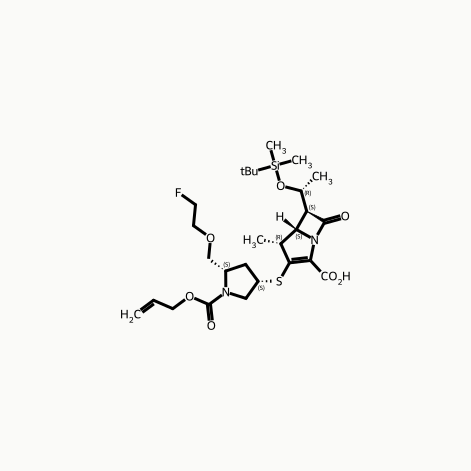 C=CCOC(=O)N1C[C@@H](SC2=C(C(=O)O)N3C(=O)[C@H]([C@@H](C)O[Si](C)(C)C(C)(C)C)[C@H]3[C@H]2C)C[C@H]1COCCF